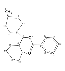 CC1=CCC(C(OC(=O)c2ccccc2)C2CCCCC2)CC1